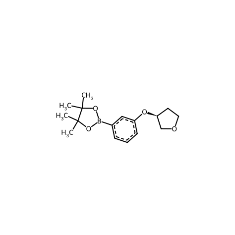 CC1(C)OB(c2cccc(O[C@H]3CCOC3)c2)OC1(C)C